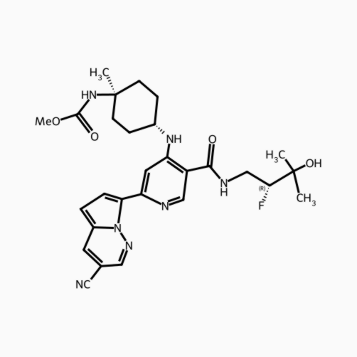 COC(=O)N[C@]1(C)CC[C@@H](Nc2cc(-c3ccc4cc(C#N)cnn34)ncc2C(=O)NC[C@@H](F)C(C)(C)O)CC1